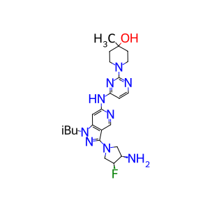 CCC(C)n1nc(N2C[C@@H](N)[C@@H](F)C2)c2cnc(Nc3ccnc(N4CCC(C)(O)CC4)n3)cc21